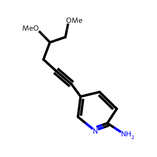 COCC(CC#Cc1ccc(N)nc1)OC